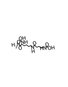 NC(=O)C(CCCCNC(=O)CCCCNC(=O)O)NC(=O)O